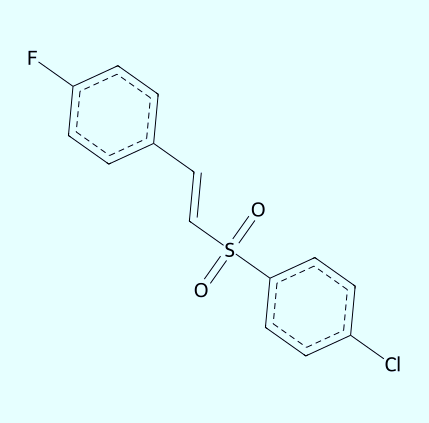 O=S(=O)(C=Cc1ccc(F)cc1)c1ccc(Cl)cc1